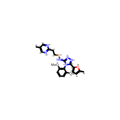 COc1cccc(OC)c1-n1c(NSCCc2ncc(C)cn2)nnc1-c1ccc(C)o1